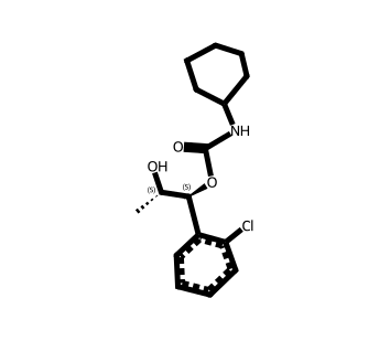 C[C@H](O)[C@@H](OC(=O)NC1CCCCC1)c1ccccc1Cl